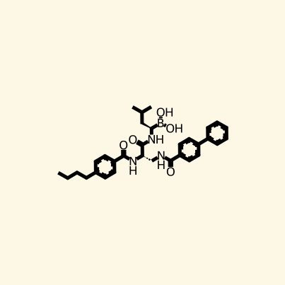 CCCCc1ccc(C(=O)N[C@@H](CNC(=O)c2ccc(-c3ccccc3)cc2)C(=O)N[C@@H](CC(C)C)B(O)O)cc1